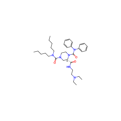 CCCCCN(CCCCC)C(=O)N1CCN(C(=O)N(c2ccccc2)c2ccccc2)[C@H](C(=O)NCCN(CC)CC)C1